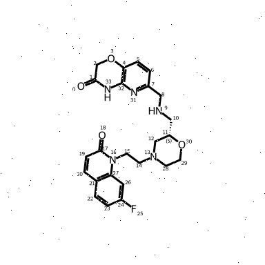 O=C1COc2ccc(CNC[C@H]3CN(CCn4c(=O)ccc5ccc(F)cc54)CCO3)nc2N1